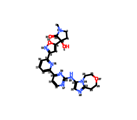 CN1CCC(O)(c2cc(-c3cccc(-c4ccnc(Nc5cnc6n5CCOCC6)n4)n3)no2)C1=O